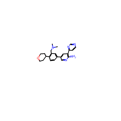 CN(C)Cc1cc(-c2cnc(N)c(-c3ccncn3)c2)ccc1C1CCOCC1